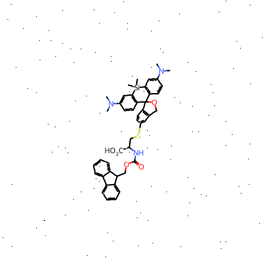 CN(C)c1ccc2c(c1)[Si](C)(C)c1cc(N(C)C)ccc1C21OCc2cc(SCC(NC(=O)OCC3c4ccccc4-c4ccccc43)C(=O)O)ccc21